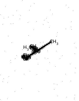 CCCCCCCCCCCCCCCCCC(=O)OC[C@H](COP(=O)([O-])OCC[N+](C)(C)C)OC(=O)CCCCCNC(=O)Cc1ccccc1Nc1c(Cl)cccc1Cl